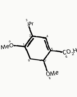 COC1=C(C(C)C)C=C(C(=O)O)C(OC)C1